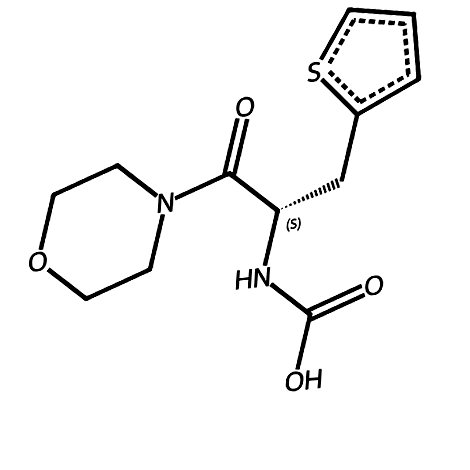 O=C(O)N[C@@H](Cc1cccs1)C(=O)N1CCOCC1